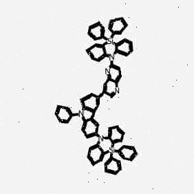 c1ccc(-n2c3ccc(-c4cnc5ccc(N6c7ccccc7[Si](c7ccccc7)(c7ccccc7)c7ccccc76)nc5c4)cc3c3cc(N4c5ccccc5[Si](c5ccccc5)(c5ccccc5)c5ccccc54)ccc32)cc1